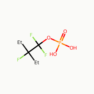 CCC(F)(CC)C(F)(F)OP(=O)(O)O